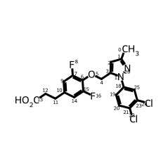 Cc1cc(COc2c(F)cc(CCC(=O)O)cc2F)n(-c2ccc(Cl)c(Cl)c2)n1